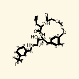 C#CCC1NC(=O)CCCCOc2ccc(cc2F)C[C@@H]([C@H](O)CNCc2cccc(C(F)(F)F)c2)NC1=O